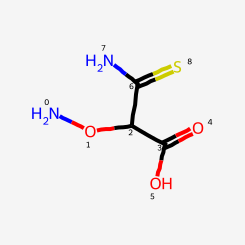 NOC(C(=O)O)C(N)=S